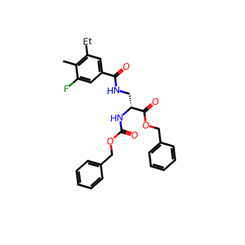 CCc1cc(C(=O)NC[C@@H](NC(=O)OCc2ccccc2)C(=O)OCc2ccccc2)cc(F)c1C